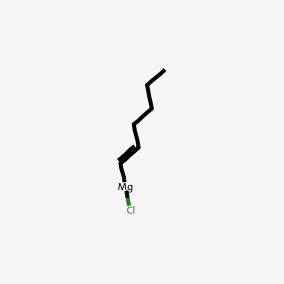 CCCC/C=[CH]/[Mg][Cl]